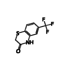 O=C1CSc2ccc(C(F)(F)F)cc2N1